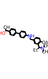 CCC(c1cc(CNc2ccc(-c3ccc(C(C)O)cc3)cc2)ccc1OC)N(C)C